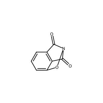 O=C1c2cccc3on1c(=O)c23